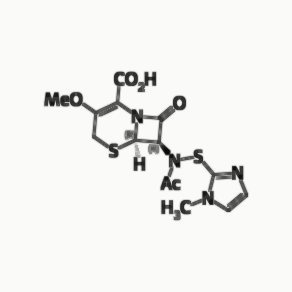 COC1=C(C(=O)O)N2C(=O)[C@@H](N(Sc3nccn3C)C(C)=O)[C@H]2SC1